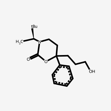 C[C@H](N1CCC(CCCO)(c2ccccc2)OC1=O)C(C)(C)C